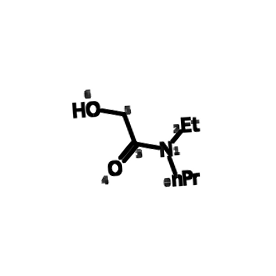 CCCN(CC)C(=O)CO